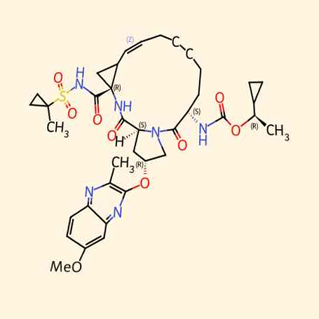 COc1ccc2nc(C)c(O[C@@H]3C[C@H]4C(=O)N[C@]5(C(=O)NS(=O)(=O)C6(C)CC6)CC5/C=C\CCCCC[C@H](NC(=O)O[C@H](C)C5CC5)C(=O)N4C3)nc2c1